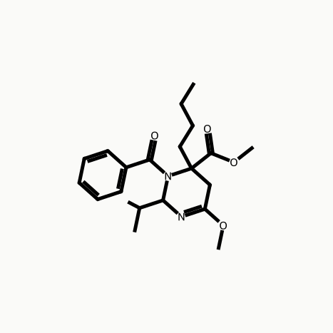 CCCCC1(C(=O)OC)CC(OC)=NC(C(C)C)N1C(=O)c1ccccc1